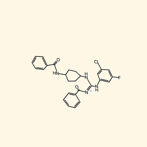 O=C(/N=C(/Nc1cc(F)cc(Cl)c1)NC1CCC(NC(=O)c2ccccc2)CC1)c1ccccc1